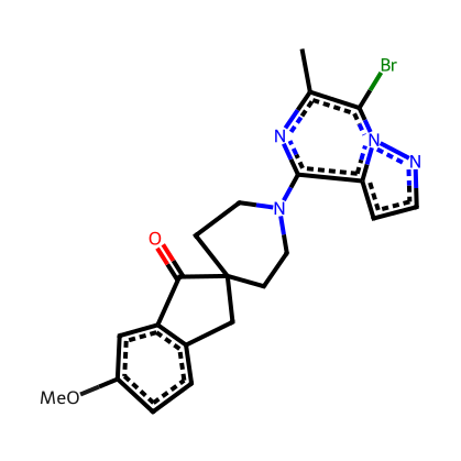 COc1ccc2c(c1)C(=O)C1(CCN(c3nc(C)c(Br)n4nccc34)CC1)C2